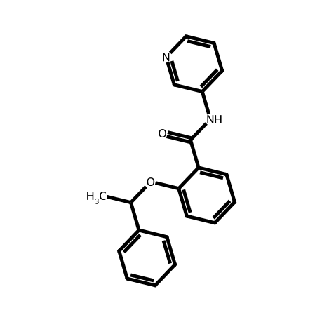 CC(Oc1ccccc1C(=O)Nc1cccnc1)c1ccccc1